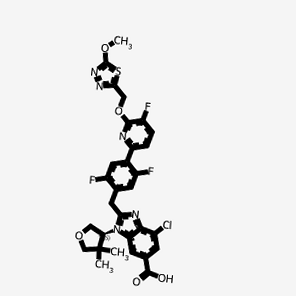 COc1nnc(COc2nc(-c3cc(F)c(Cc4nc5c(Cl)cc(C(=O)O)cc5n4[C@@H]4COCC4(C)C)cc3F)ccc2F)s1